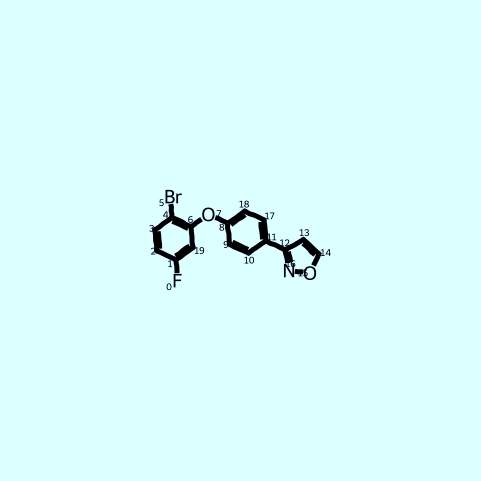 Fc1ccc(Br)c(Oc2ccc(-c3ccon3)cc2)c1